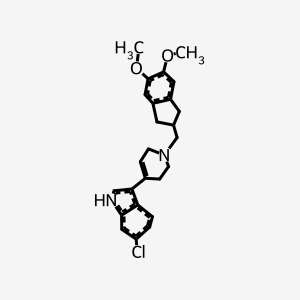 COc1cc2c(cc1OC)CC(CN1CC=C(c3c[nH]c4cc(Cl)ccc34)CC1)C2